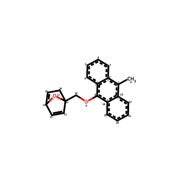 Cc1c2ccccc2c(OCC23C=CC(=CC2)O3)c2ccccc12